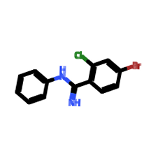 N=C(Nc1ccccc1)c1ccc(Br)cc1Cl